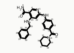 NC(=O)c1cnc(Nc2ccc(C(=O)N3CCCCC3)cc2)cc1NCc1ccccc1